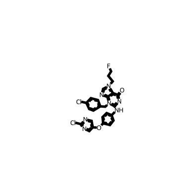 O=c1nc(Nc2ccc(Oc3cnc(Cl)nc3)cc2)n(Cc2ccc(Cl)cc2)c2ncn(CCCF)c12